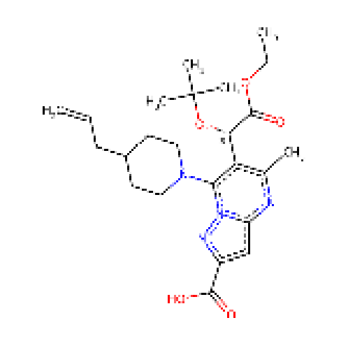 C=CCC1CCN(c2c([C@H](OC(C)(C)C)C(=O)OCC)c(C)nc3cc(C(=O)O)nn23)CC1